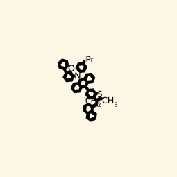 C=c1ccc2ccccc2/c1=C/c1c(C)sc2cc(-c3c4ccccc4c(N(c4ccc(C(C)C)cc4)c4cccc5c4oc4ccccc45)c4ccccc34)ccc12